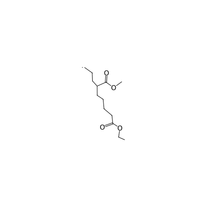 [CH2]CCC(CCCCC(=O)OCC)C(=O)OC